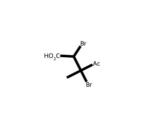 CC(=O)C(C)(Br)C(Br)C(=O)O